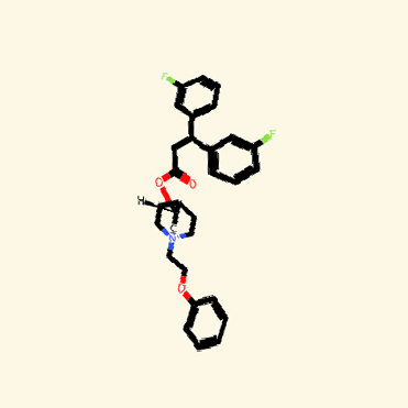 O=C(CC(c1cccc(F)c1)c1cccc(F)c1)O[C@H]1C[N+]2(CCOc3ccccc3)CCC1CC2